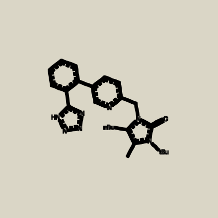 CCCCc1c(C)n(C(C)(C)C)c(=O)n1Cc1ccc(-c2ccccc2-c2nnn[nH]2)cn1